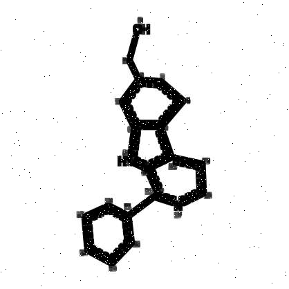 OCc1ccc2c(c1)[nH]c1c(-c3ccccc3)nccc12